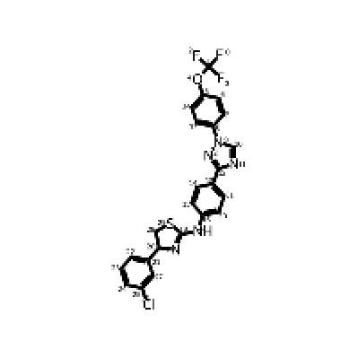 FC(F)(F)Oc1ccc(-n2cnc(-c3ccc(NC4=NC(c5cccc(Cl)c5)CS4)cc3)n2)cc1